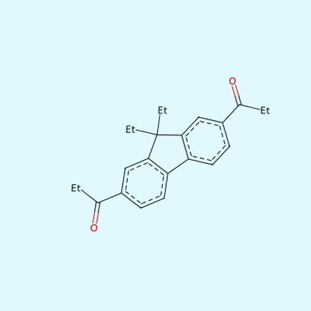 CCC(=O)c1ccc2c(c1)C(CC)(CC)c1cc(C(=O)CC)ccc1-2